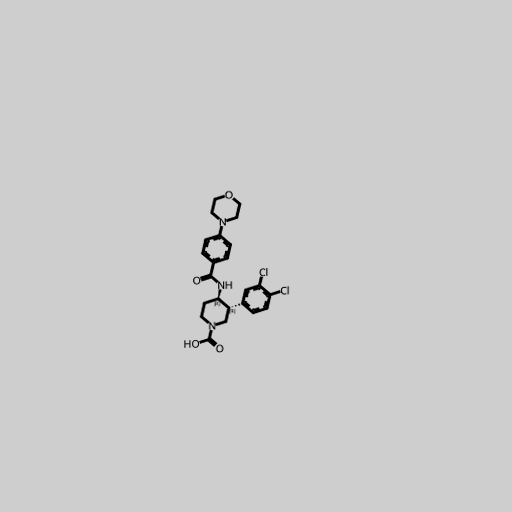 O=C(N[C@@H]1CCN(C(=O)O)C[C@H]1c1ccc(Cl)c(Cl)c1)c1ccc(N2CCOCC2)cc1